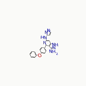 Nc1n[nH]c2cc(NC3=N[N]C=C3)nc(-c3ccc(Oc4ccccc4)cc3)c12